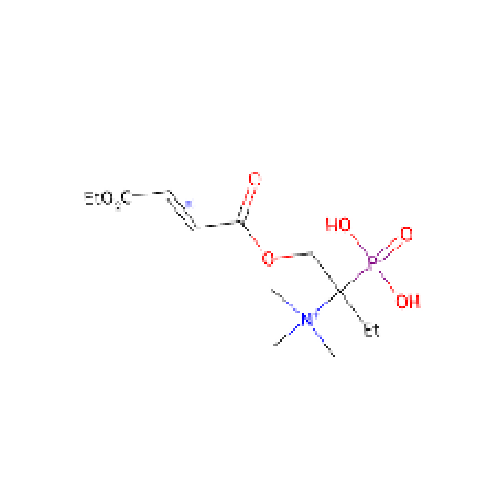 CCOC(=O)/C=C/C(=O)OCC(CC)([N+](C)(C)C)P(=O)(O)O